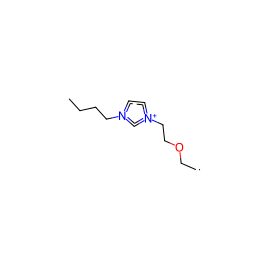 [CH2]COCC[n+]1ccn(CCCC)c1